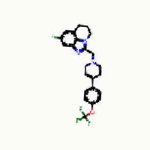 Fc1cc2c3c(c1)nc(CN1CC=C(c4ccc(OC(F)(F)F)cc4)CC1)n3CCC2